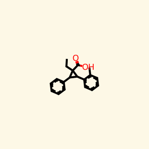 CCC1(C(=O)O)C(c2ccccc2)C1c1ccccc1C